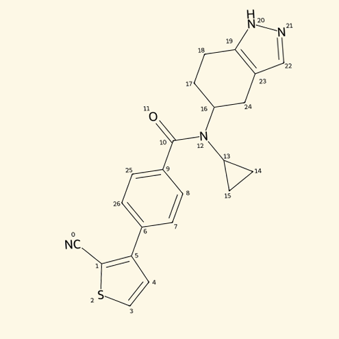 N#Cc1sccc1-c1ccc(C(=O)N(C2CC2)C2CCc3[nH]ncc3C2)cc1